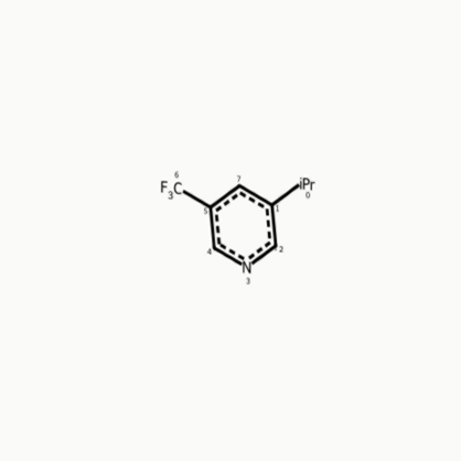 CC(C)c1[c]ncc(C(F)(F)F)c1